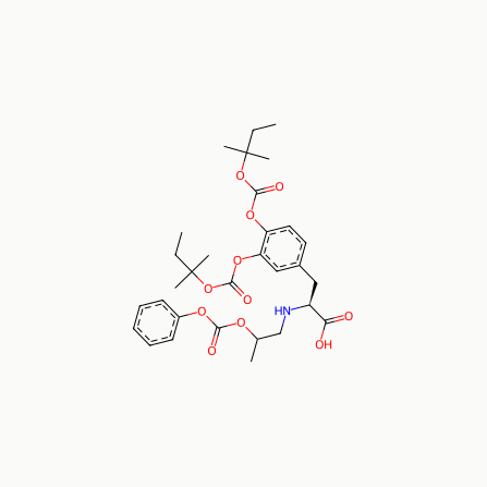 CCC(C)(C)OC(=O)Oc1ccc(C[C@H](NCC(C)OC(=O)Oc2ccccc2)C(=O)O)cc1OC(=O)OC(C)(C)CC